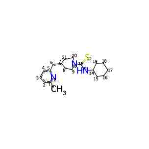 Cc1cccc(C=C2CCN(C(=S)NC3CCCCC3)CC2)n1